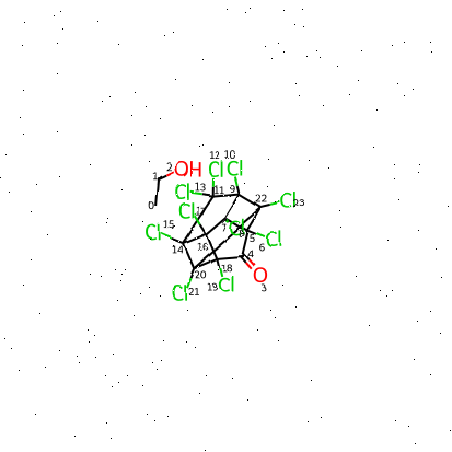 CCO.O=C1C2(Cl)C3(Cl)C4(Cl)C(Cl)(Cl)C5(Cl)C3(Cl)C1(Cl)C5(Cl)C24Cl